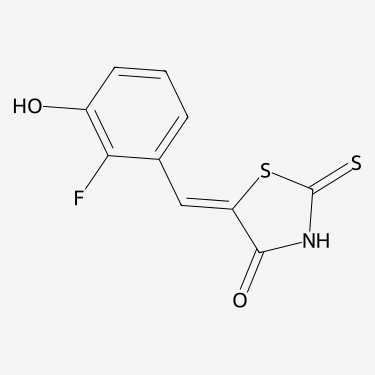 O=C1NC(=S)S/C1=C\c1cccc(O)c1F